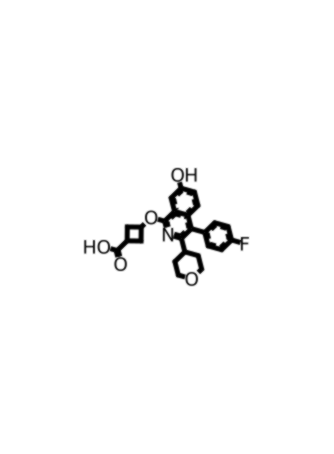 O=C(O)C1CC(Oc2nc(C3CCOCC3)c(-c3ccc(F)cc3)c3ccc(O)cc23)C1